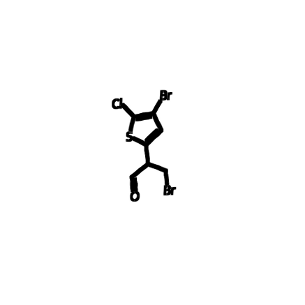 O=CC(CBr)c1cc(Br)c(Cl)s1